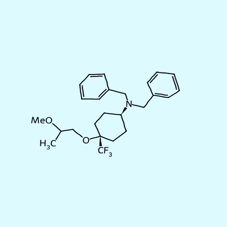 COC(C)CO[C@]1(C(F)(F)F)CC[C@@H](N(Cc2ccccc2)Cc2ccccc2)CC1